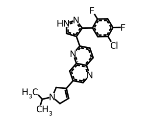 CC(C)N1CC=C(c2cnc3ccc(-c4c[nH]nc4-c4cc(Cl)c(F)cc4F)nc3c2)C1